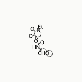 CCN1CCN(OC(=O)N[C@H]([C]=O)Cc2ccccc2)C(=O)C1=O